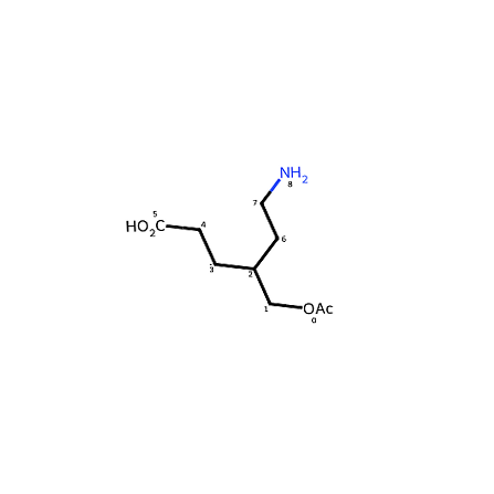 CC(=O)OCC([CH]CC(=O)O)CCN